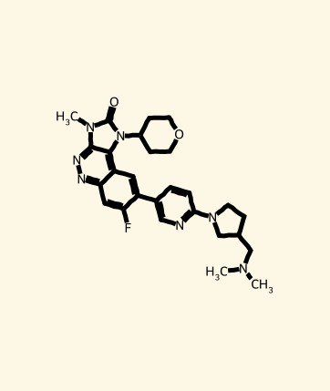 CN(C)CC1CCN(c2ccc(-c3cc4c(cc3F)nnc3c4n(C4CCOCC4)c(=O)n3C)cn2)C1